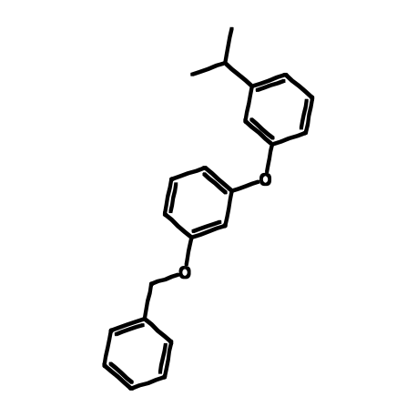 CC(C)c1cccc(Oc2cccc(OCc3ccccc3)c2)c1